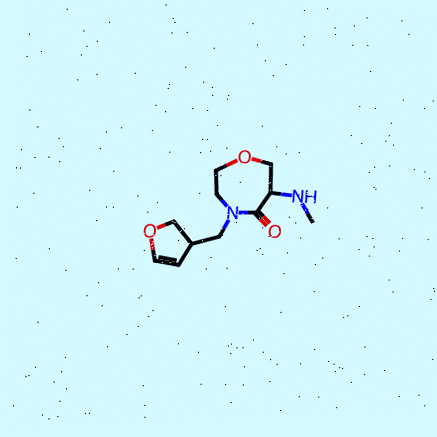 CNC1COCCN(CC2C=COC2)C1=O